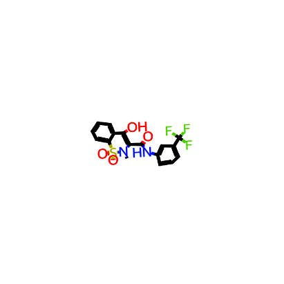 CN1C(C(=O)Nc2cccc(C(F)(F)F)c2)=C(O)c2ccccc2S1(=O)=O